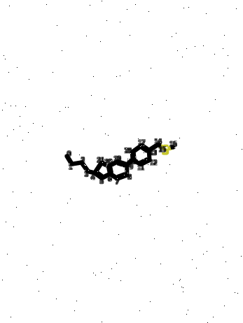 CCCCC1=Cc2ccc(-c3ccc(CSC)cc3)cc2C1